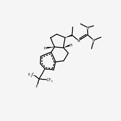 CC(N=C(N(C)C)N(C)C)[C@@H]1CC[C@H]2c3ccc(C(F)(C(F)(F)F)C(F)(F)F)cc3CC[C@H]21